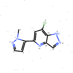 Cn1nccc1-c1cc(Cl)c2[nH]ncc2n1